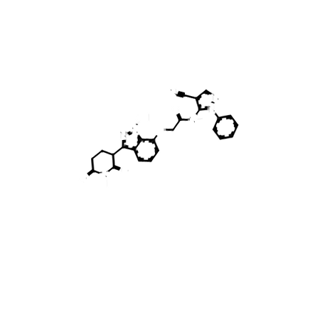 Cn1nc(C2CCC(=O)NC2=O)c2cccc(OCC(=O)Nc3c(C#N)cnn3-c3ccccc3)c21